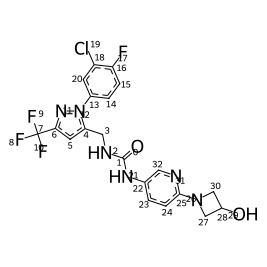 O=C(NCc1cc(C(F)(F)F)nn1-c1ccc(F)c(Cl)c1)Nc1ccc(N2CC(O)C2)nc1